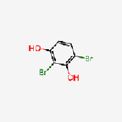 Oc1ccc(Br)c(O)c1Br